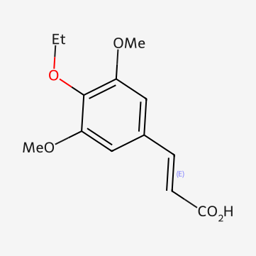 CCOc1c(OC)cc(/C=C/C(=O)O)cc1OC